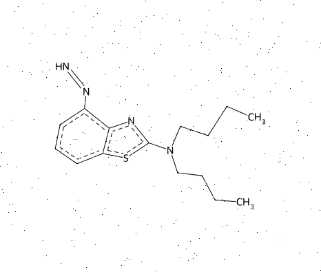 CCCCN(CCCC)c1nc2c(N=N)cccc2s1